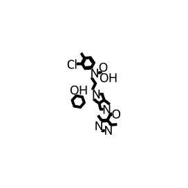 Cc1ccc(N(CCCN2CC3CN(C(=O)c4c(C)ncnc4C)CC3C2)C(=O)O)cc1Cl.OC1CCCCC1